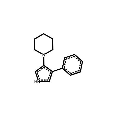 c1ccc(-c2c[nH]cc2N2CCCCC2)cc1